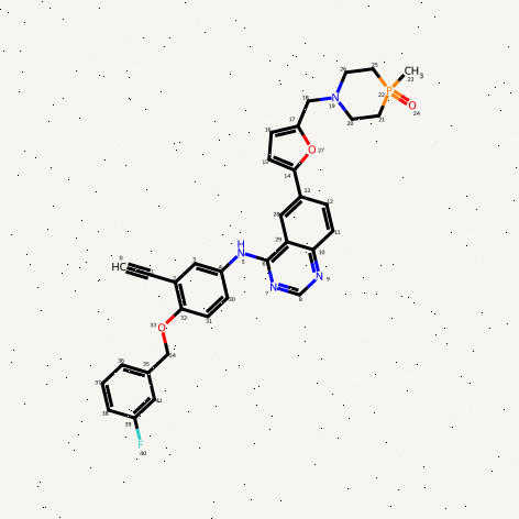 C#Cc1cc(Nc2ncnc3ccc(-c4ccc(CN5CCP(C)(=O)CC5)o4)cc23)ccc1OCc1cccc(F)c1